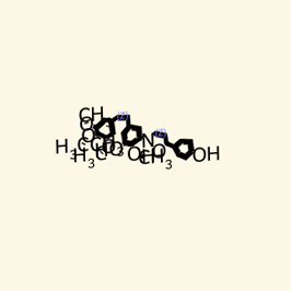 COC1=CC(/C=C\c2cc(O)c(OC)c(N/C=C\C(=O)c3ccc(O)cc3)c2)=CC(OC)C1(C)OC